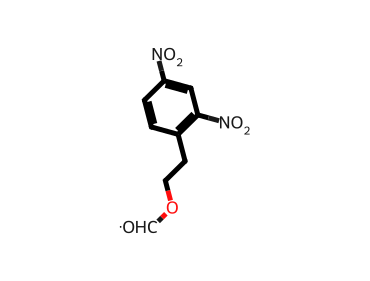 O=[C]OCCc1ccc([N+](=O)[O-])cc1[N+](=O)[O-]